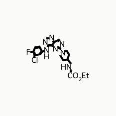 CCOC(=O)CNCC1CCN(c2ncc3ncnc(Nc4ccc(F)c(Cl)c4)c3n2)CC1